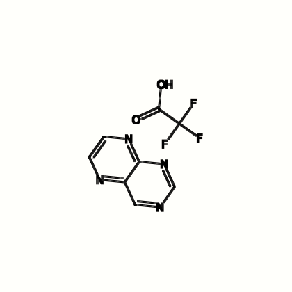 O=C(O)C(F)(F)F.c1cnc2ncncc2n1